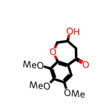 COc1cc2c(c(OC)c1OC)OCC(O)CC2=O